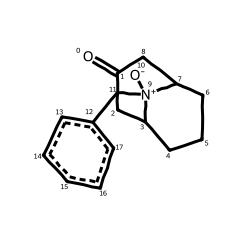 O=C1CC2CCCC(C1)[N+]2([O-])Cc1ccccc1